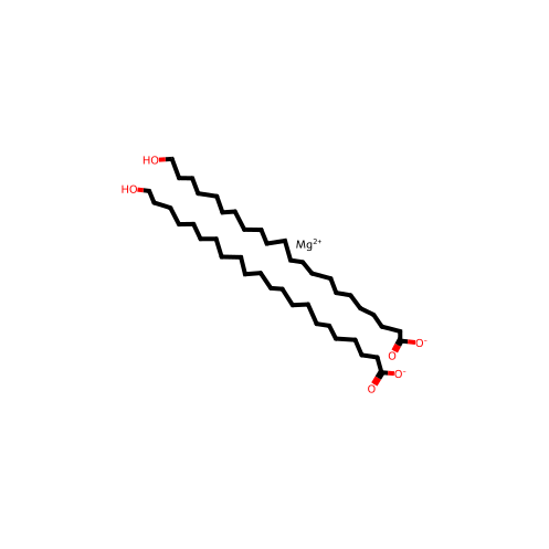 O=C([O-])CCCCCCCCCCCCCCCCCCCCCO.O=C([O-])CCCCCCCCCCCCCCCCCCCCCO.[Mg+2]